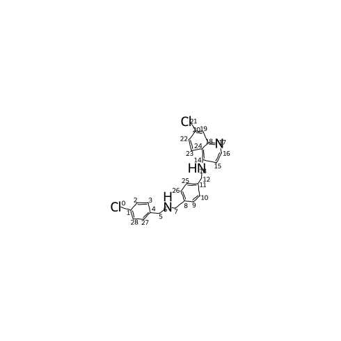 Clc1ccc(CNCc2ccc(CNc3ccnc4cc(Cl)ccc34)cc2)cc1